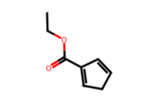 CCOC(=O)C1=[C]CC=C1